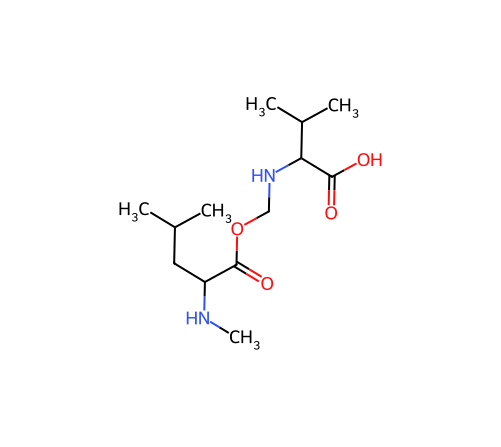 CNC(CC(C)C)C(=O)OCNC(C(=O)O)C(C)C